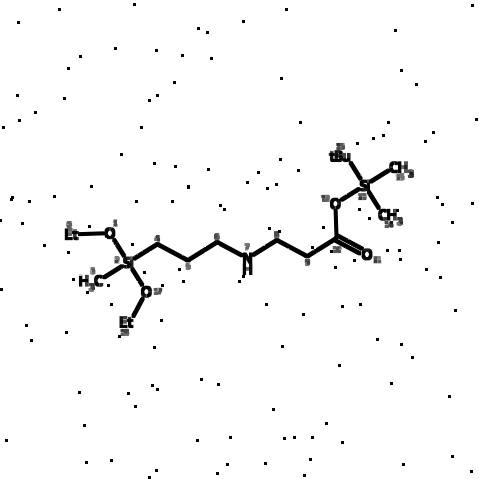 CCO[Si](C)(CCCNCCC(=O)O[Si](C)(C)C(C)(C)C)OCC